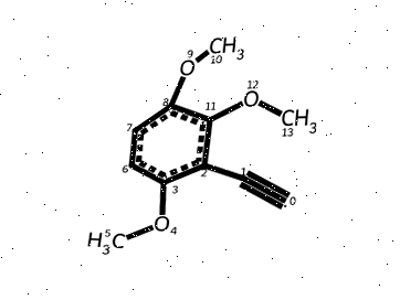 [C]#Cc1c(OC)ccc(OC)c1OC